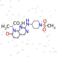 CC(C(=O)O)n1c(=O)ccc2cnc(NC3CCN(S(C)(=O)=O)CC3)nc21